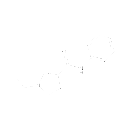 CCN1CCC(C(=O)Nc2ccccc2)C1